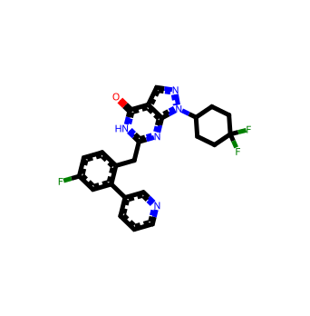 O=c1[nH]c(Cc2ccc(F)cc2-c2cccnc2)nc2c1cnn2C1CCC(F)(F)CC1